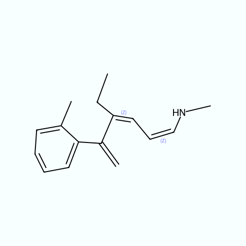 C=C(/C(=C\C=C/NC)CC)c1ccccc1C